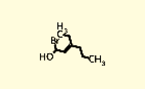 CCCC(=CC(O)Br)CC